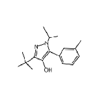 Cc1cccc(-c2c(O)c(C(C)(C)C)nn2C(C)C)c1